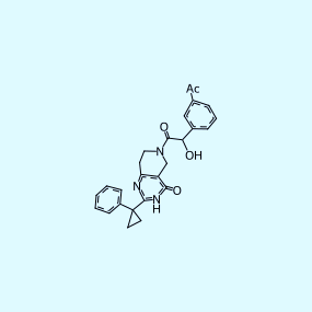 CC(=O)c1cccc(C(O)C(=O)N2CCc3nc(C4(c5ccccc5)CC4)[nH]c(=O)c3C2)c1